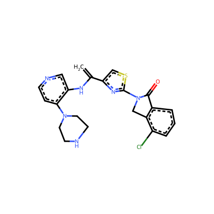 C=C(Nc1cnccc1N1CCNCC1)c1csc(N2Cc3c(Cl)cccc3C2=O)n1